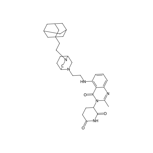 Cc1nc2cccc(NCCN3CC4CCC3CN4CCC34CC5CC(CC(C5)C3)C4)c2c(=O)n1C1CCC(=O)NC1=O